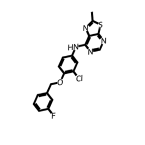 Cc1nc2c(Nc3ccc(OCc4cccc(F)c4)c(Cl)c3)ncnc2s1